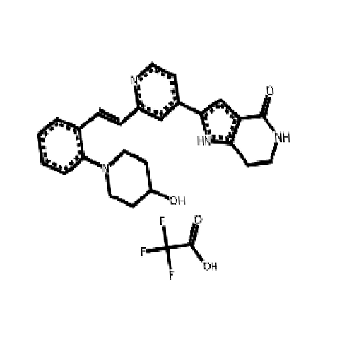 O=C(O)C(F)(F)F.O=C1NCCc2[nH]c(-c3ccnc(C=Cc4ccccc4N4CCC(O)CC4)c3)cc21